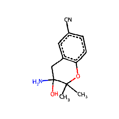 CC1(C)Oc2ccc(C#N)cc2CC1(N)O